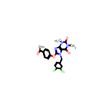 COC(=O)c1ccc(Oc2nc3c(c(=O)n(C)c(=O)n3C)n2Cc2ccc(Cl)c(Cl)c2)cc1